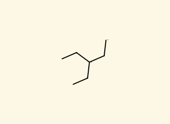 [CH2]C[C](CC)CC